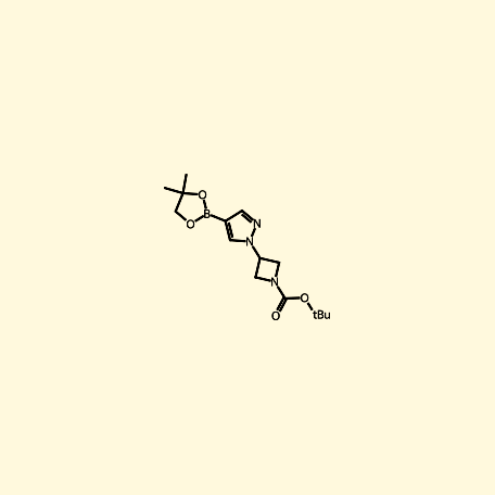 CC(C)(C)OC(=O)N1CC(n2cc(B3OCC(C)(C)O3)cn2)C1